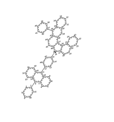 c1ccc(-c2c3ccccc3c(-c3ccc(-n4c5ccc6ccccc6c5c5c6cc7ccccc7c(-c7ccccc7)c6ccc54)cc3)c3ccccc23)cc1